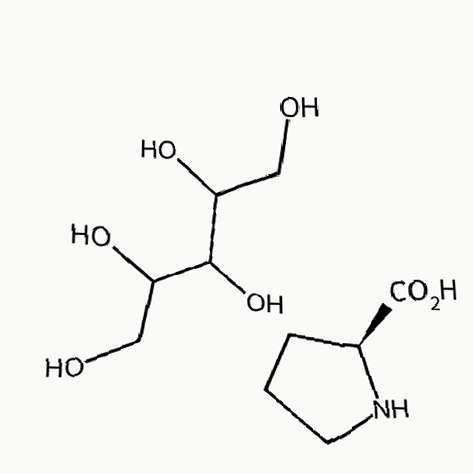 O=C(O)[C@@H]1CCCN1.OCC(O)C(O)C(O)CO